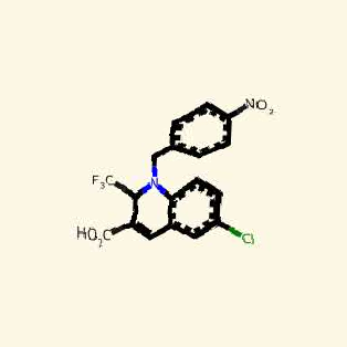 O=C(O)C1=Cc2cc(Cl)ccc2N(Cc2ccc([N+](=O)[O-])cc2)C1C(F)(F)F